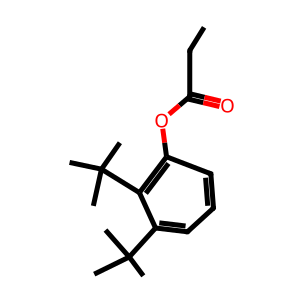 CCC(=O)Oc1cccc(C(C)(C)C)c1C(C)(C)C